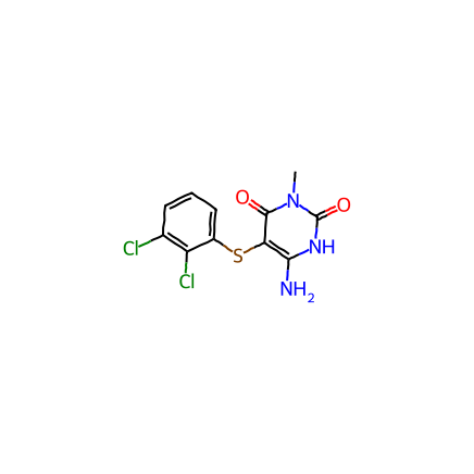 Cn1c(=O)[nH]c(N)c(Sc2cccc(Cl)c2Cl)c1=O